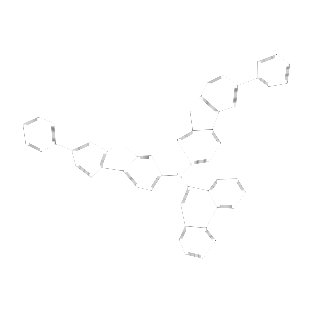 c1ccc(-c2ccc3c(c2)oc2cc(N(c4ccc5c(c4)oc4ccc(-c6ccccc6)cc45)c4cc5ccccc5c5ccccc45)ccc23)cc1